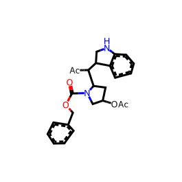 CC(=O)OC1CC(C(C(C)=O)C2CNc3ccccc32)N(C(=O)OCc2ccccc2)C1